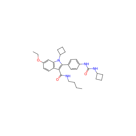 CCCCNC(=O)c1c(-c2ccc(NC(=O)NC3CCC3)cc2)n(C2CCC2)c2cc(OCC)ccc12